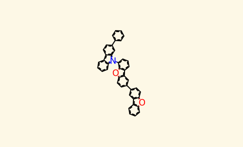 c1ccc(-c2ccc3c4ccccc4n(-c4cccc5c4oc4ccc(-c6ccc7oc8ccccc8c7c6)cc45)c3c2)cc1